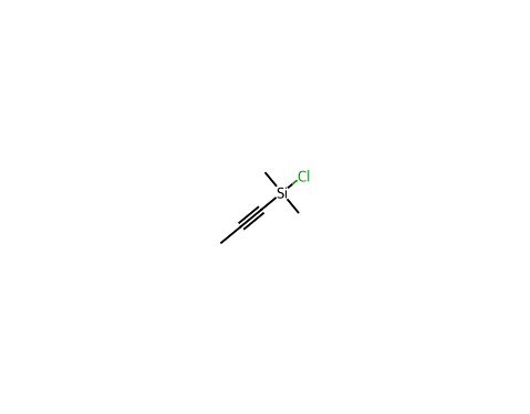 CC#C[Si](C)(C)Cl